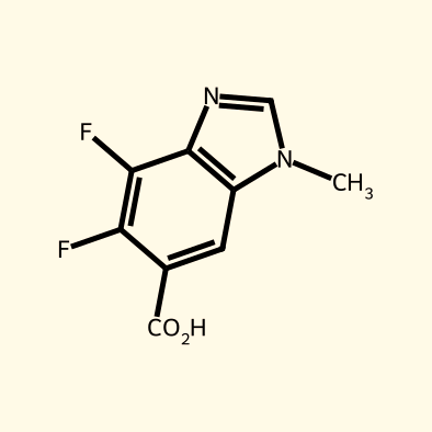 Cn1cnc2c(F)c(F)c(C(=O)O)cc21